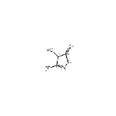 CC1=NSC(=O)C1O